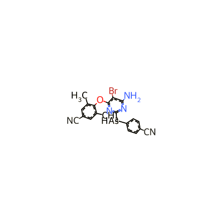 Cc1cc(C#N)cc(C)c1Oc1nc([AsH]c2ccc(C#N)cc2)nc(N)c1Br